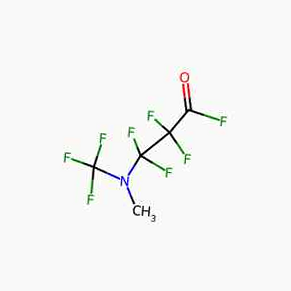 CN(C(F)(F)F)C(F)(F)C(F)(F)C(=O)F